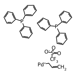 C=C[CH2][Pd+].O=S(=O)([O-])C(F)(F)F.c1ccc(P(c2ccccc2)c2ccccc2)cc1.c1ccc(P(c2ccccc2)c2ccccc2)cc1